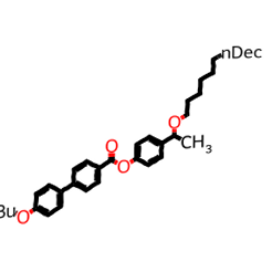 CCCCCCCCCCCCCCCCOC(C)c1ccc(OC(=O)c2ccc(-c3ccc(OCCCC)cc3)cc2)cc1